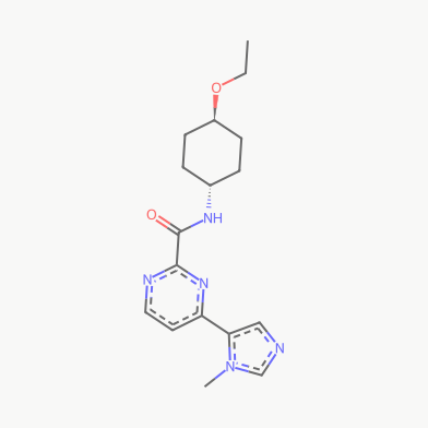 CCO[C@H]1CC[C@H](NC(=O)c2nccc(-c3cncn3C)n2)CC1